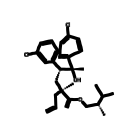 C=CC[C@@](C)(C[C@H](c1cccc(Cl)c1)[C@@](C)(O)c1ccc(Cl)cc1)C(=C)OC[C@@H](C)C(C)C